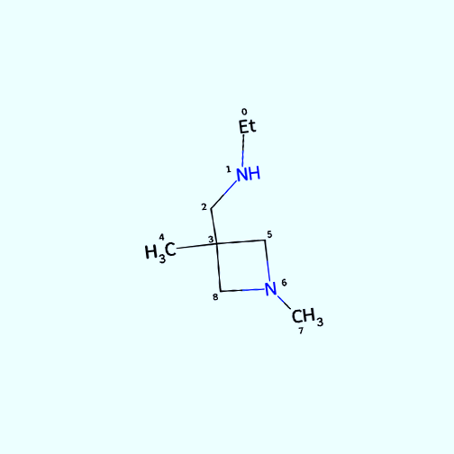 CCNCC1(C)CN(C)C1